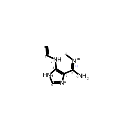 C=CNc1[nH]cnc1/C(N)=N\C